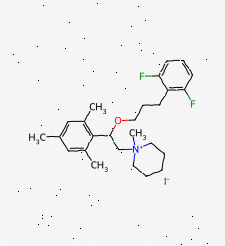 Cc1cc(C)c(C(C[N+]2(C)CCCCC2)OCCCc2c(F)cccc2F)c(C)c1.[I-]